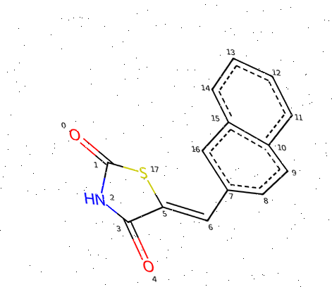 O=C1NC(=O)C(=Cc2ccc3ccccc3c2)S1